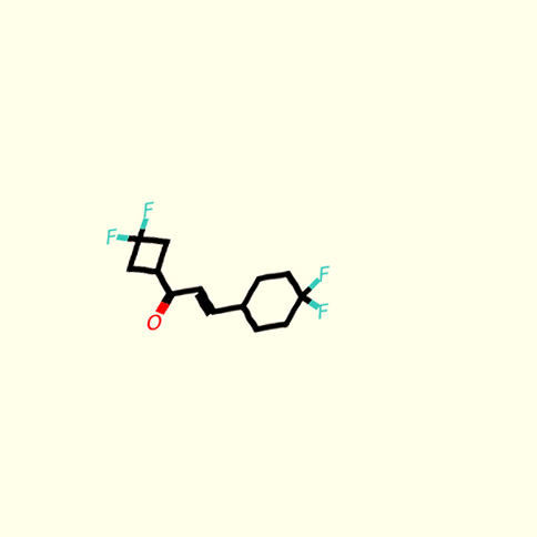 O=C(/C=C/C1CCC(F)(F)CC1)C1CC(F)(F)C1